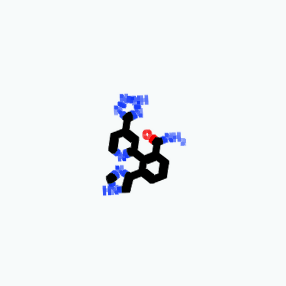 NC(=O)c1cccc(-c2c[nH]cn2)c1-c1cc(-c2nn[nH]n2)ccn1